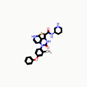 Cc1cc(Oc2ccccc2)ccc1N1C(=O)NC2=C(C(=O)N[C@@H]3CCCNC3)SC3NC=CC1=C23